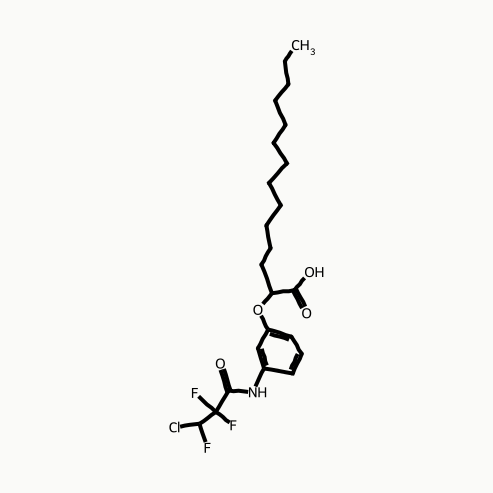 CCCCCCCCCCCCC(Oc1cccc(NC(=O)C(F)(F)C(F)Cl)c1)C(=O)O